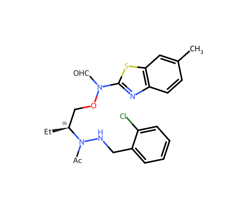 CC[C@@H](CON(C=O)c1nc2ccc(C)cc2s1)N(NCc1ccccc1Cl)C(C)=O